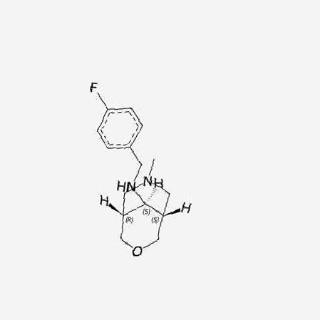 CN1C[C@H]2COC[C@@H](C1)[C@@H]2NCc1ccc(F)cc1